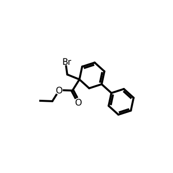 CCOC(=O)C1(CBr)C=CC=C(c2ccccc2)C1